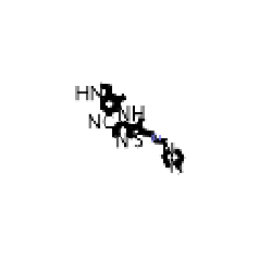 Cc1c(Nc2c(C#N)cnc3sc(/C=C/CN4CCN(C)CC4)c(C)c23)ccc2[nH]ccc12